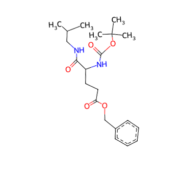 CC(C)CNC(=O)C(CCC(=O)OCc1ccccc1)NC(=O)OC(C)(C)C